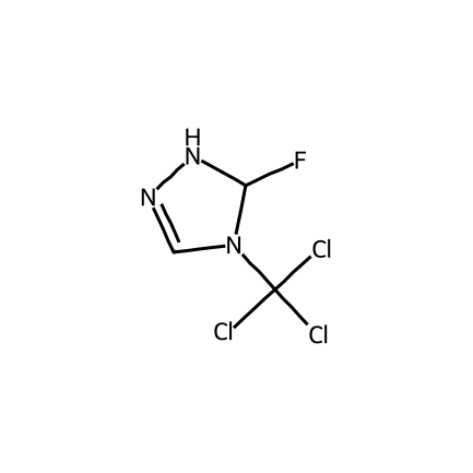 FC1NN=CN1C(Cl)(Cl)Cl